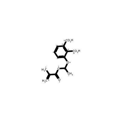 C=C(C)C(=O)OC(C)Oc1cccc(C(=O)O)c1C(=O)O